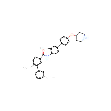 COc1cccc(-c2cc(C(=O)Nc3ccc(-c4ccc(OC5CCNCC5)cc4)cc3C)ccc2OC)c1